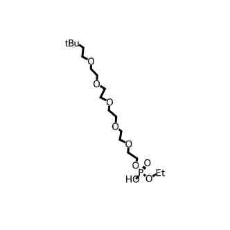 CCOP(=O)(O)OCCOCCOCCOCCOCCOCCC(C)(C)C